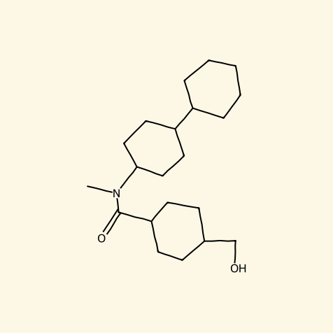 CN(C(=O)C1CCC(CO)CC1)C1CCC(C2CCCCC2)CC1